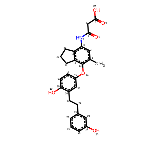 Cc1cc(NC(=O)CC(=O)O)c2c(c1Oc1ccc(O)c(CCc3cccc(O)c3)c1)CCC2